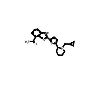 NC(=O)c1cccc2[nH]c(-c3ccc(C4CCCCN4CC4CC4)s3)nc12